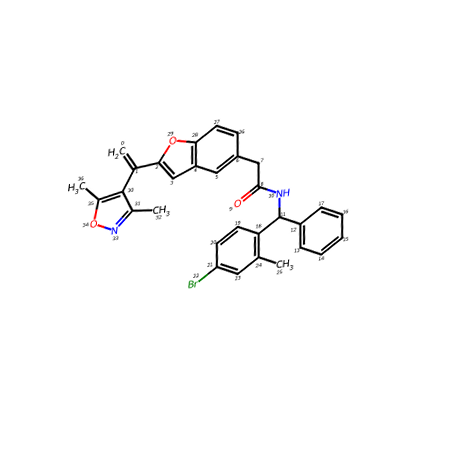 C=C(c1cc2cc(CC(=O)NC(c3ccccc3)c3ccc(Br)cc3C)ccc2o1)c1c(C)noc1C